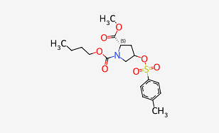 CCCCOC(=O)N1CC(OS(=O)(=O)c2ccc(C)cc2)C[C@H]1C(=O)OC